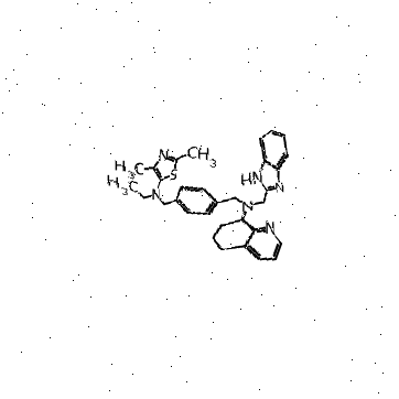 CCN(Cc1ccc(CN(Cc2nc3ccccc3[nH]2)C2CCCc3cccnc32)cc1)c1sc(C)nc1C